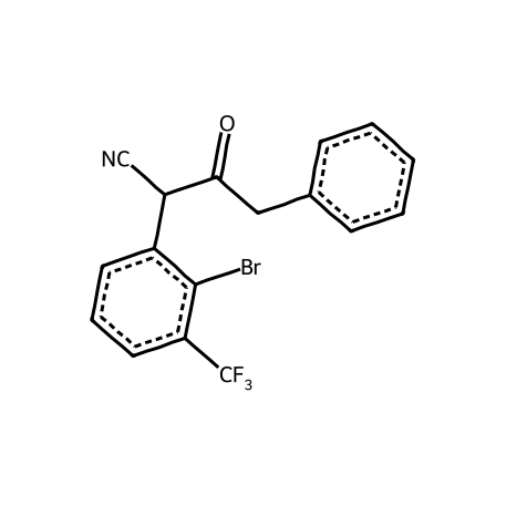 N#CC(C(=O)Cc1ccccc1)c1cccc(C(F)(F)F)c1Br